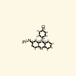 CC(C)/N=c1\ccc2nc3ccccc3n(-c3ccc(Cl)cc3)c-2c1